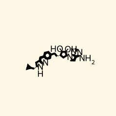 Nc1ncnc2c1ccn2[C@@H]1C[C@H](CCc2ccc3cc4c(nc3c2)N[C@H](CC2CC2)C4)[C@@H](O)[C@H]1O